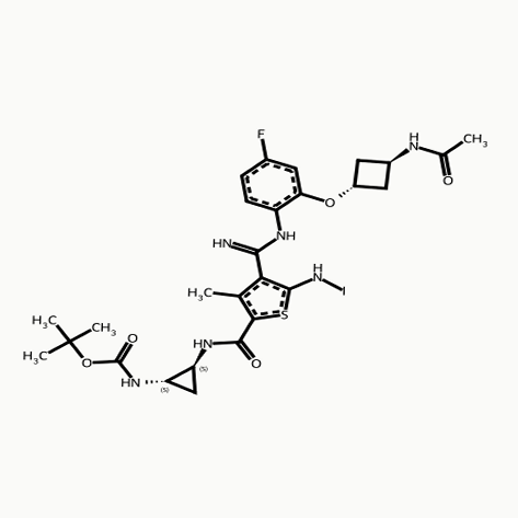 CC(=O)N[C@H]1C[C@H](Oc2cc(F)ccc2NC(=N)c2c(NI)sc(C(=O)N[C@H]3C[C@@H]3NC(=O)OC(C)(C)C)c2C)C1